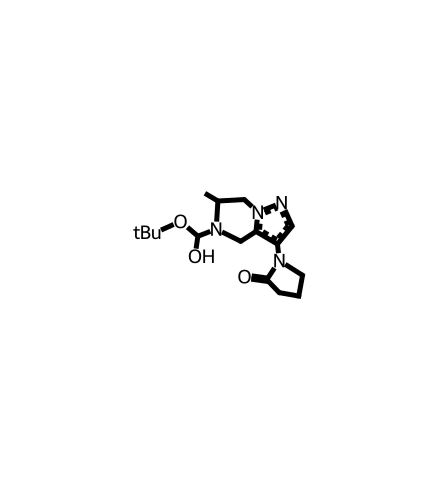 CC1Cn2ncc(N3CCCC3=O)c2CN1C(O)OC(C)(C)C